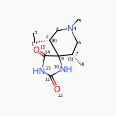 CC[C@@H]1CN(C)C[C@H](C)C12NC(=O)NC2=O